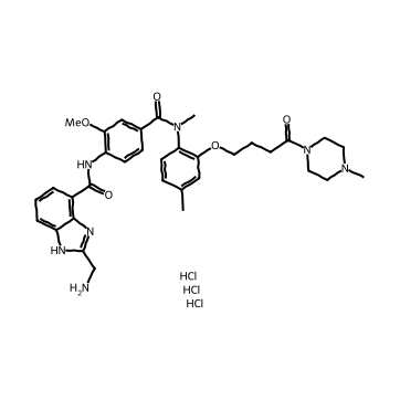 COc1cc(C(=O)N(C)c2ccc(C)cc2OCCCC(=O)N2CCN(C)CC2)ccc1NC(=O)c1cccc2[nH]c(CN)nc12.Cl.Cl.Cl